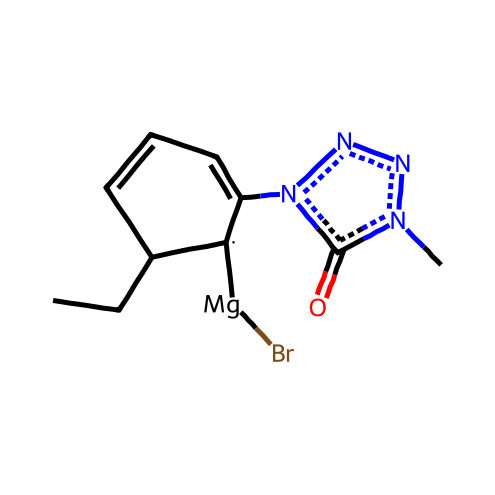 CCC1C=CC=C(n2nnn(C)c2=O)[C]1[Mg][Br]